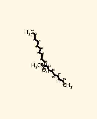 CCCCCCCCCC[N+](C)([O-])CCCCCCCC